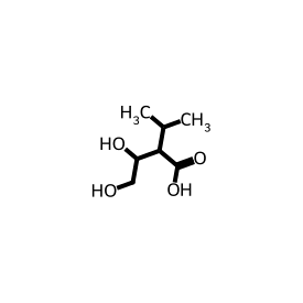 CC(C)C(C(=O)O)C(O)CO